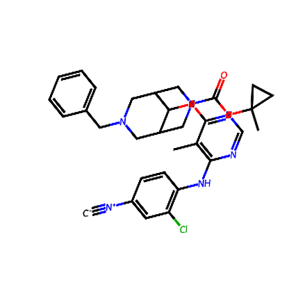 [C-]#[N+]c1ccc(Nc2ncnc(OC3C4CN(Cc5ccccc5)CC3CN(C(=O)OC3(C)CC3)C4)c2C)c(Cl)c1